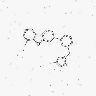 Cc1cnn(Cc2cccc(-c3ccc4c(c3)oc3c(C)cccc34)c2)c1